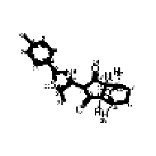 Cc1ccc(-c2nc(C3C(=O)[C@@H]4[C@H](C3=O)[C@H]3CC[C@@H]4O3)c(C)s2)cc1